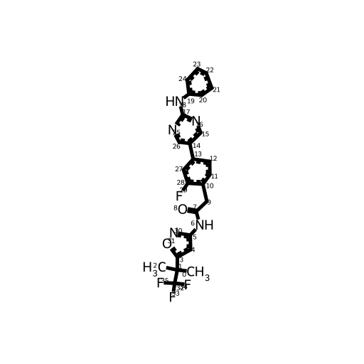 CC(C)(c1cc(NC(=O)Cc2ccc(-c3cnc(Nc4ccccc4)nc3)cc2F)no1)C(F)(F)F